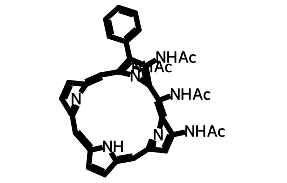 CC(=O)NC1=Cc2cc3ccc(cc4nc(cc5c(-c6ccccc6)c(NC(C)=O)c(c(NC(C)=O)c1n2)n5NC(C)=O)C=C4)[nH]3